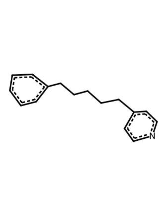 c1ccc(CCCCCc2ccncc2)cc1